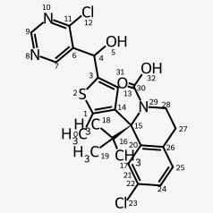 Cc1sc(C(O)c2cncnc2Cl)cc1[C@@]1(C(C)(C)C)c2cc(Cl)ccc2CCN1C(=O)O